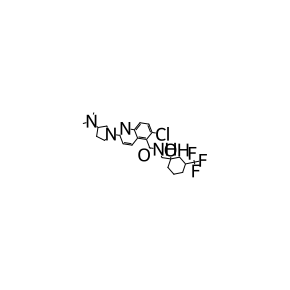 CN(C)C1CCN(c2ccc3c(C(=O)NCC4(O)CCCC(C(F)(F)F)C4)c(Cl)ccc3n2)C1